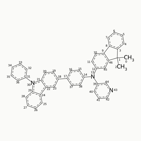 CC1(C)c2ccccc2-c2ccc(N(c3ccc(-c4ccc5c(c4)c4ccccc4n5-c4ccccc4)cc3)c3cccnc3)cc21